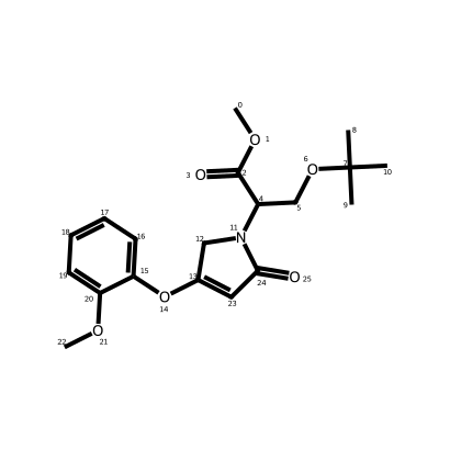 COC(=O)C(COC(C)(C)C)N1CC(Oc2ccccc2OC)=CC1=O